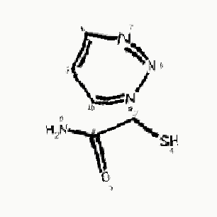 NC(=O)CS.c1cnnnc1